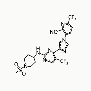 CS(=O)(=O)N1CCC(Nc2ncc(C(F)(F)F)c(-c3cn(-c4ccc(C(F)(F)F)nc4C#N)cn3)n2)CC1